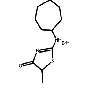 Br.CC1SC(NC2CCCCCC2)=NC1=O